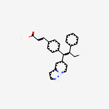 CC/C(=C(/c1ccc(/C=C/C(=O)O)cc1)c1ccn2nccc2c1)c1ccccc1